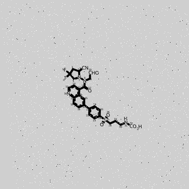 N#CC1CC(F)(F)CN1N(CC=O)C(=O)c1ccnc2ccc(-c3ccc(S(=O)(=O)CCCNC(=O)O)cc3)cc12